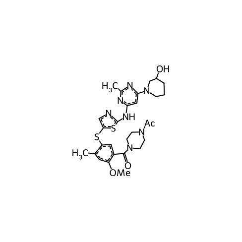 COc1cc(C)c(Sc2cnc(Nc3cc(N4CCCC(O)C4)nc(C)n3)s2)cc1C(=O)N1CCN(C(C)=O)CC1